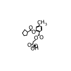 Cc1ccc(C(=O)OCCS(=O)(=O)O)c(OC(=O)C2CCCC2)c1